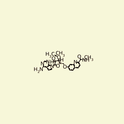 CNC(=O)c1ccc2ccc(OC[C@H]3O[C@@H](n4ccc5c(N)ncnc54)[C@@H]4OC(C)(C)O[C@@H]43)cc2n1